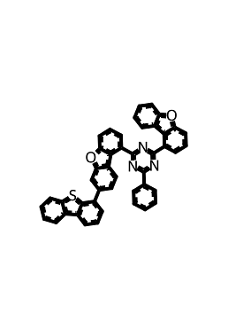 c1ccc(-c2nc(-c3cccc4oc5ccccc5c34)nc(-c3cccc4oc5cc(-c6cccc7c6sc6ccccc67)ccc5c34)n2)cc1